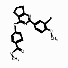 COC(=O)c1ccc(Oc2nc(-c3ccc(OC)c(F)c3)nc3c2CCC3)cc1